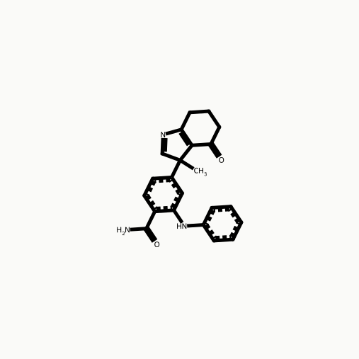 CC1(c2ccc(C(N)=O)c(Nc3ccccc3)c2)C=NC2=C1C(=O)CCC2